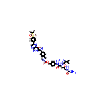 CC(C)[C@H](N)C(=O)N[C@@H](CCCNC(N)=O)C(=O)Nc1ccc(COC(=O)N(C)Cc2ccc(-c3cc(-c4nc(-c5ccc(S(=O)(=O)C(C)C)cc5)cnc4N)on3)cc2)cc1